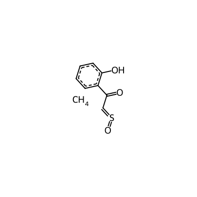 C.O=S=CC(=O)c1ccccc1O